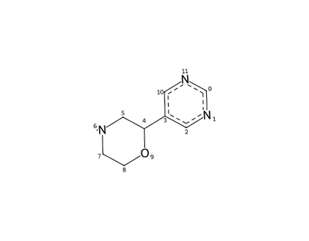 c1ncc(C2C[N]CCO2)cn1